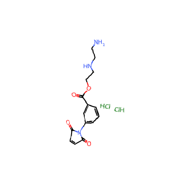 Cl.Cl.NCCNCCOC(=O)c1cccc(N2C(=O)C=CC2=O)c1